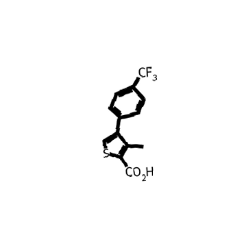 Cc1c(-c2ccc(C(F)(F)F)cc2)csc1C(=O)O